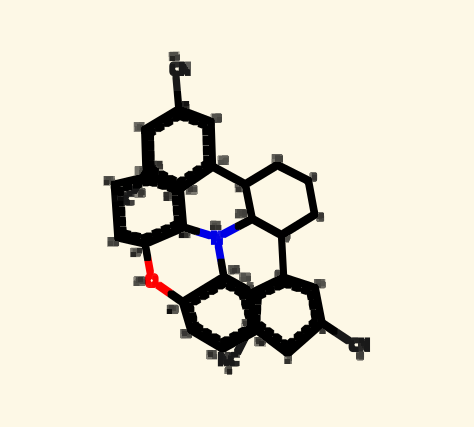 N#Cc1cc(C#N)cc(C2CCCC(c3cc(C#N)cc(C#N)c3)C2N2c3ccccc3Oc3ccccc32)c1